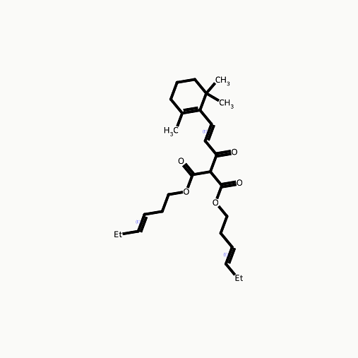 CC/C=C/CCOC(=O)C(C(=O)/C=C/C1=C(C)CCCC1(C)C)C(=O)OCC/C=C/CC